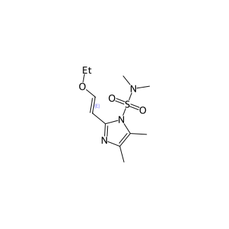 CCO/C=C/c1nc(C)c(C)n1S(=O)(=O)N(C)C